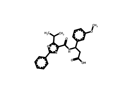 COc1cccc(C(CC(=O)O)NC(=O)c2nc(-c3ccccc3)oc2C(C)C)c1